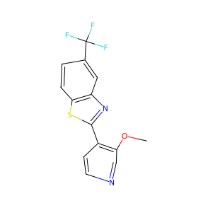 COc1cnccc1-c1nc2cc(C(F)(F)F)ccc2s1